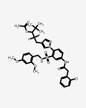 COc1ccc(CNS(=O)(=O)c2cc(NC(=O)Cc3ccccc3Cl)ccc2-n2cc(CC(F)(F)C(OC(N)=O)C(C)(C)C)cn2)c(OC)c1